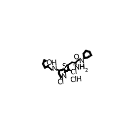 Cl.N[C@H](Cc1sc2c(NCc3ccco3)cc(Cl)nc2c1Cl)C(=O)Nc1ccccc1